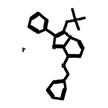 C[N+](C)(C)Cc1c(-c2ccccc2)nc2c(OCc3ccccc3)cccn12.[I-]